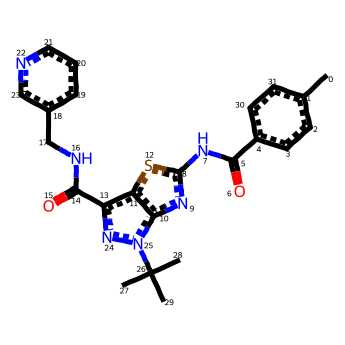 Cc1ccc(C(=O)Nc2nc3c(s2)c(C(=O)NCc2cccnc2)nn3C(C)(C)C)cc1